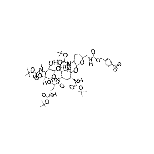 CN(C(=O)OC(C)(C)C)C1C(O)C(OC2C(NC(=O)C(O)CCNC(=O)OC(C)(C)C)CC(NC(=O)OC(C)(C)C)C(OC3OC(CNC(=O)OCc4ccc([N+](=O)[O-])cc4)CCC3NC(=O)OC(C)(C)C)C2O)OCC1(C)O